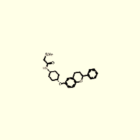 CSCC(=O)N[C@H]1CC[C@H](Oc2ccc3c(c2)CCC(c2ccccc2)O3)CC1